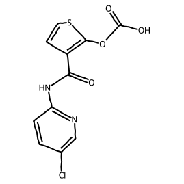 O=C(O)Oc1sccc1C(=O)Nc1ccc(Cl)cn1